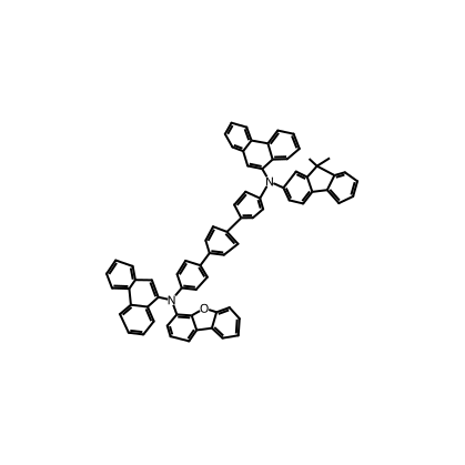 CC1(C)c2ccccc2-c2ccc(N(c3ccc(-c4ccc(-c5ccc(N(c6cc7ccccc7c7ccccc67)c6cccc7c6oc6ccccc67)cc5)cc4)cc3)c3cc4ccccc4c4ccccc34)cc21